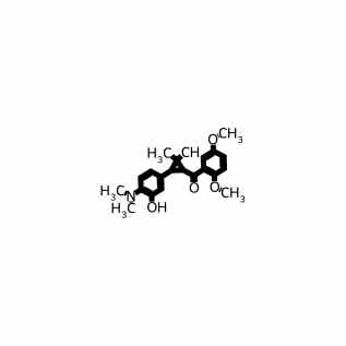 COc1ccc(OC)c(C(=O)C2C(c3ccc(N(C)C)c(O)c3)C2(C)C)c1